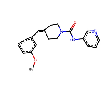 CC(C)Oc1cccc(C=C2CCN(C(=O)Nc3cccnc3)CC2)c1